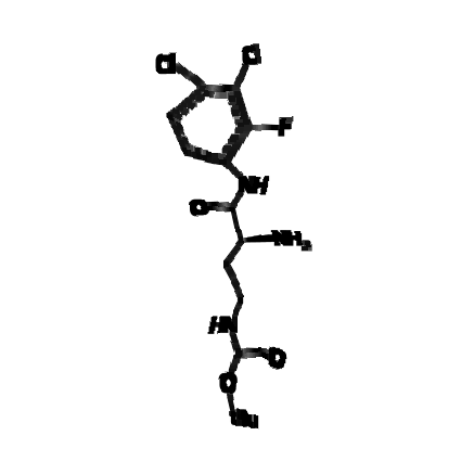 CC(C)(C)OC(=O)NCC[C@H](N)C(=O)Nc1ccc(Cl)c(Cl)c1F